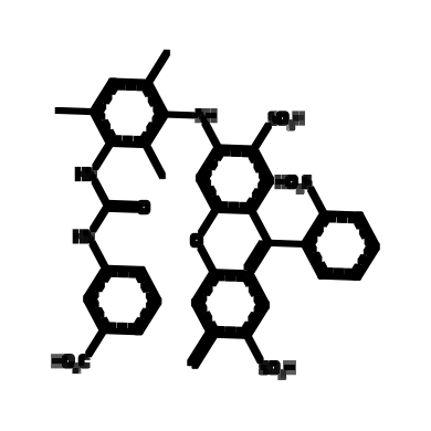 C=c1cc2c(cc1S(=O)(=O)O)=C(c1ccccc1S(=O)(=O)O)c1cc(S(=O)(=O)O)c(Nc3c(C)cc(C)c(NC(=O)Nc4cccc(C(=O)O)c4)c3C)cc1O2